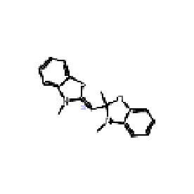 CN1/C(=C/C2(C)Oc3ccccc3N2C)Sc2ccccc21